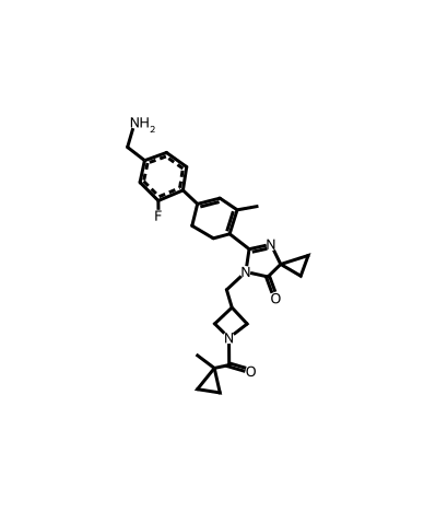 CC1=C(C2=NC3(CC3)C(=O)N2CC2CN(C(=O)C3(C)CC3)C2)CCC(c2ccc(CN)cc2F)=C1